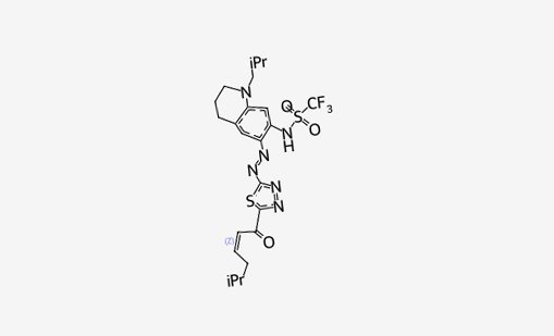 CC(C)C/C=C\C(=O)c1nnc(N=Nc2cc3c(cc2NS(=O)(=O)C(F)(F)F)N(CC(C)C)CCC3)s1